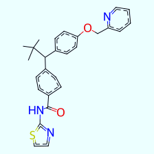 CC(C)(C)C(c1ccc(OCc2ccccn2)cc1)c1ccc(C(=O)Nc2nccs2)cc1